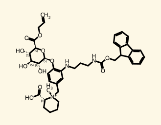 C=CCOC(=O)[C@H]1O[C@@H](Oc2ccc(C[N+]3(C)CCCC[C@@H]3C(=O)O)cc2NCCCNC(=O)OCC2c3ccccc3-c3ccccc32)[C@H](O)[C@@H](O)[C@@H]1O